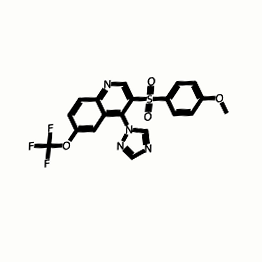 COc1ccc(S(=O)(=O)c2cnc3ccc(OC(F)(F)F)cc3c2-n2cncn2)cc1